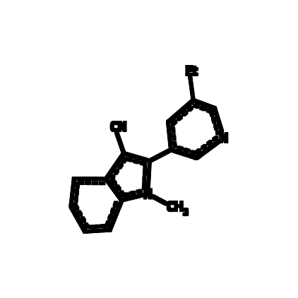 CCc1cncc(-c2c(C#N)c3ccccc3n2C)c1